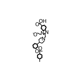 COCCn1c(CN2CCC(c3cccc4c3OC(C)(c3ccc(C)cc3)O4)CC2)nc2ccc(C(=O)O)cc21